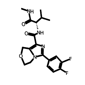 CNC(=O)[C@@H](NC(=O)c1nc(-c2ccc(F)c(F)c2)n2c1COCC2)C(C)C